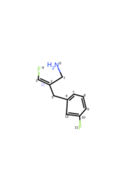 NC/C(=C\F)Cc1cccc(F)c1